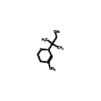 CC(=O)OCC(C)(C)C1C=C(C)CCO1